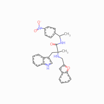 CC(NC(=O)C(C)(Cc1c[nH]c2ccccc12)NCc1cc2ccccc2o1)c1ccc([N+](=O)[O-])cc1